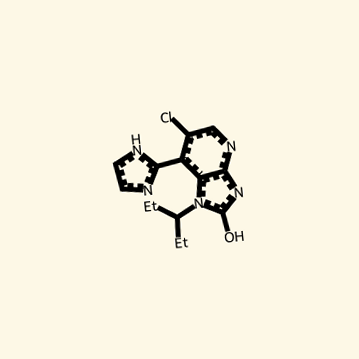 CCC(CC)n1c(O)nc2ncc(Cl)c(-c3ncc[nH]3)c21